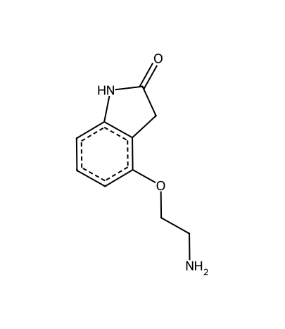 NCCOc1cccc2c1CC(=O)N2